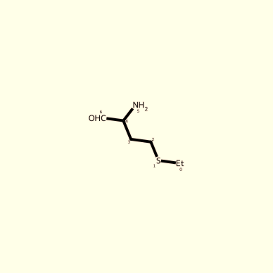 CCSCCC(N)C=O